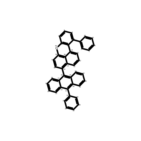 c1ccc(-c2cccc3c2-c2cccc4c(-c5c6ccccc6c(-c6ccccc6)c6ccccc56)ccc(c24)O3)cc1